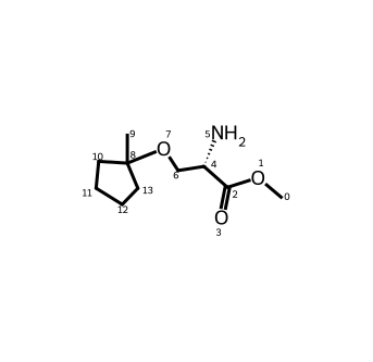 COC(=O)[C@@H](N)COC1(C)CCCC1